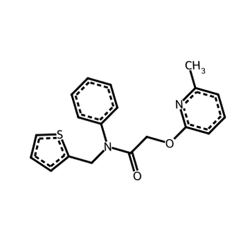 Cc1cccc(OCC(=O)N(Cc2cccs2)c2ccccc2)n1